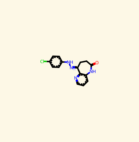 O=C1CC/C(=N\Nc2ccc(Cl)cc2)c2ncccc2N1